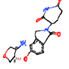 N[C@@H]1COC[C@H]1Oc1ccc2c(c1)CN(C1CCC(=O)NC1=O)C2=O